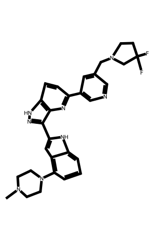 CN1CCN(c2cccc3[nH]c(-c4n[nH]c5ccc(-c6cncc(CN7CCC(F)(F)C7)c6)nc45)cc23)CC1